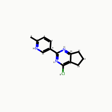 Cc1ccc(-c2nc(Cl)c3c(n2)CCC3)cn1